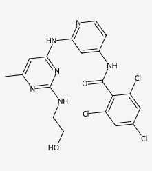 Cc1cc(Nc2cc(NC(=O)c3c(Cl)cc(Cl)cc3Cl)ccn2)nc(NCCO)n1